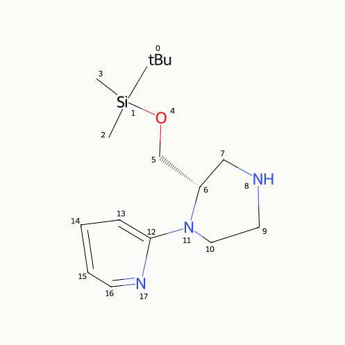 CC(C)(C)[Si](C)(C)OC[C@@H]1CNCCN1c1ccccn1